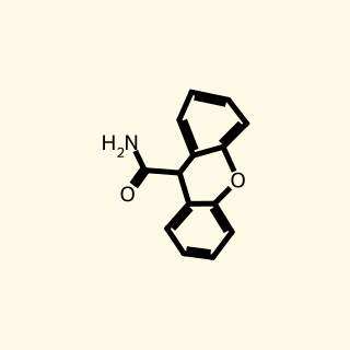 NC(=O)C1c2ccccc2Oc2ccccc21